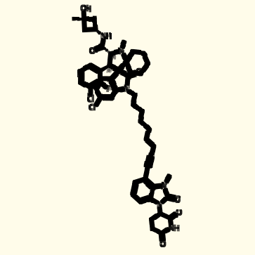 CN1[C@@H](C(=O)N[C@H]2C[C@@](C)(O)C2)[C@H](c2cccc(Cl)c2F)C2(C(=O)N(CCCCCCCC#Cc3cccc4c3n(C)c(=O)n4C3CCC(=O)NC3=O)c3cc(Cl)ccc32)C12CCCCC2